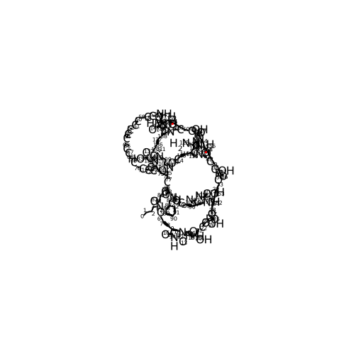 CCCCN1OCC#Cc2cn(c(=O)[nH]c2=O)[C@@H]2CC(O)[C@H](COP(=O)(O)OC3C[C@@H]4O[C@H]3COP(=O)(O)OC3C[C@@H]5O[C@H]3COP(=O)(O)OC3C[C@@H]6O[C@H]3COCCCCCCCCCCCCCCCCCC(CC(CC(CCC1=O)C(=O)N(Cc1ccccc1)OCC#Cc1cn4c(=O)nc1N)C(=O)N(CCN(C)C)OCC#Cc1cn5c3ncnc(N)c13)C(=O)N(CC(=O)O)OCC#Cc1cn6c3nc(N)[nH]c(=O)c13)O2